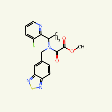 COC(=O)C(=O)N(Cc1ccc2nsnc2c1)C(C)c1ncccc1F